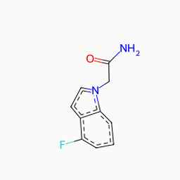 NC(=O)Cn1ccc2c(F)cccc21